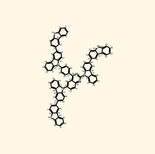 c1ccc2c(c1)sc1ccc(-c3ccc4c(c3)c3ccccc3n4-c3ccc(-c4nc(-n5c6ccccc6c6cc(-c7ccc8sc9ccccc9c8c7)ccc65)nc5ccc(-n6c7ccccc7c7cc(-c8ccc9sc%10ccccc%10c9c8)ccc76)cc45)cc3)cc12